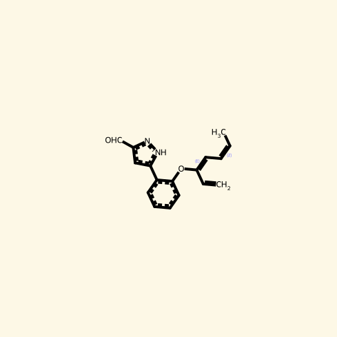 C=C/C(=C\C=C/C)Oc1ccccc1-c1cc(C=O)n[nH]1